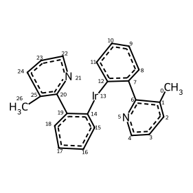 Cc1cccnc1-c1cccc[c]1[Ir][c]1ccccc1-c1ncccc1C